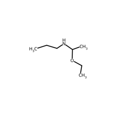 CCCNC(C)OCC